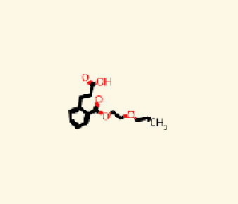 C=CCOCCOC(=O)c1ccccc1CCC(=O)O